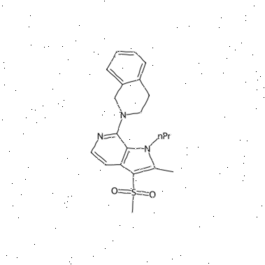 CCCn1c(C)c(S(C)(=O)=O)c2ccnc(N3CCc4ccccc4C3)c21